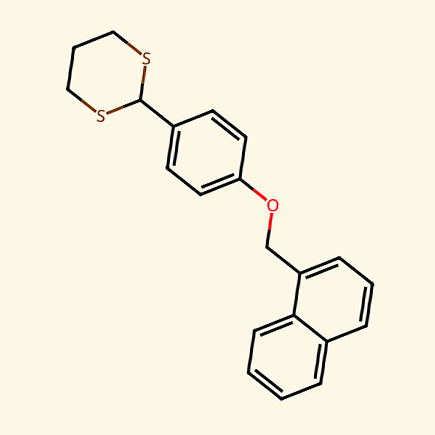 c1ccc2c(COc3ccc(C4SCCCS4)cc3)cccc2c1